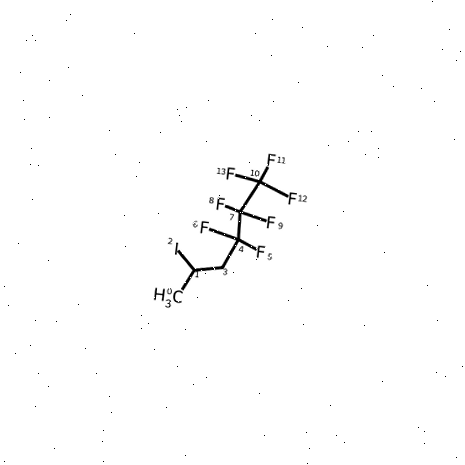 CC(I)CC(F)(F)C(F)(F)C(F)(F)F